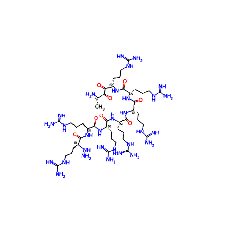 C[C@H](N)C(=O)C(=O)[C@H](CCCNC(=N)N)NC(=O)[C@H](CCCNC(=N)N)NC(=O)[C@H](CCCNC(=N)N)NC(=O)[C@H](CCCNC(=N)N)NC(=O)[C@H](CCCNC(=N)N)NC(=O)[C@H](CCCNC(=N)N)NC(=O)[C@H](CCCNC(=N)N)NN